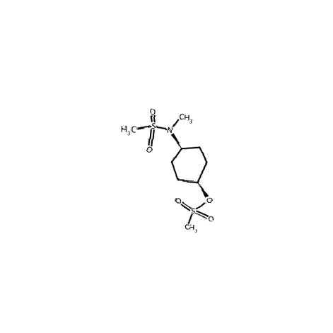 CN([C@H]1CC[C@@H](OS(C)(=O)=O)CC1)S(C)(=O)=O